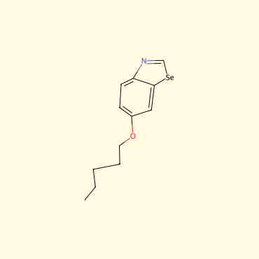 CCCCCOc1ccc2nc[se]c2c1